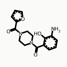 Nc1cccc(C(=O)N2CCN(C(=O)c3ccco3)CC2)c1O